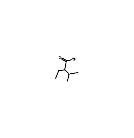 CC[C](C(=O)O)N(C)C